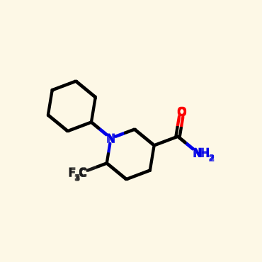 NC(=O)C1CCC(C(F)(F)F)N(C2CCCCC2)C1